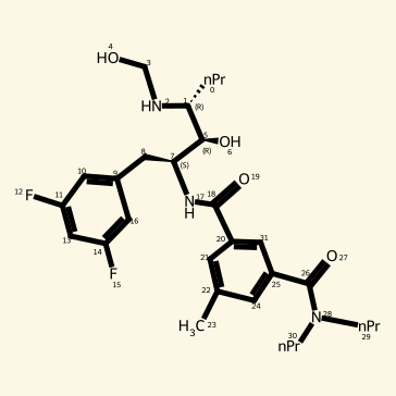 CCC[C@@H](NCO)[C@@H](O)[C@H](Cc1cc(F)cc(F)c1)NC(=O)c1cc(C)cc(C(=O)N(CCC)CCC)c1